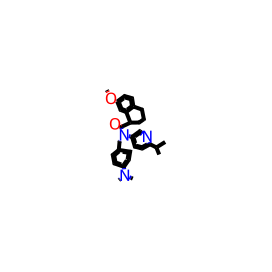 COc1ccc2c(c1)C(C(=O)N(Cc1ccc(N(C)C)cc1)c1ccc(C(C)C)nc1)CCC2